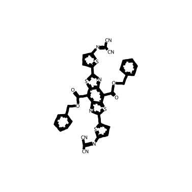 N#CC(C#N)=Nc1ccc(-c2nc3c(C(=O)OCc4ccccc4)c4sc(-c5ccc(N=C(C#N)C#N)s5)nc4c(C(=O)OCc4ccccc4)c3s2)s1